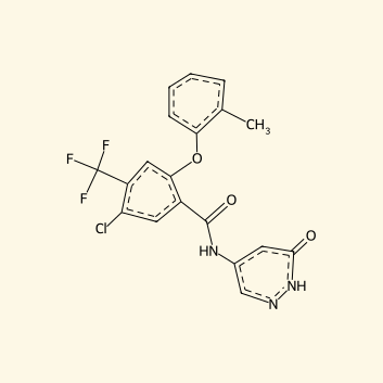 Cc1ccccc1Oc1cc(C(F)(F)F)c(Cl)cc1C(=O)Nc1cn[nH]c(=O)c1